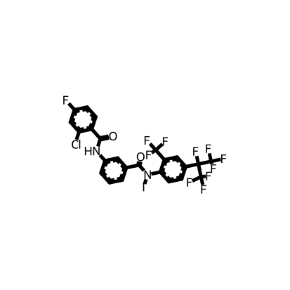 O=C(Nc1cccc(C(=O)N(I)c2ccc(C(F)(C(F)(F)F)C(F)(F)F)cc2C(F)(F)F)c1)c1ccc(F)cc1Cl